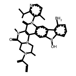 Bc1cccc2c1-c1cc3c(cc1B2O)C1=C(C(=C)N3c2c(C)ccnc2C(C)C)N(C)C(=O)C2CN(C(=C)C=C)C(C)CN12